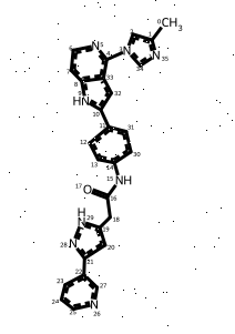 Cc1cn(-c2nccc3[nH]c(-c4ccc(NC(=O)Cc5cc(-c6cccnc6)n[nH]5)cc4)cc23)cn1